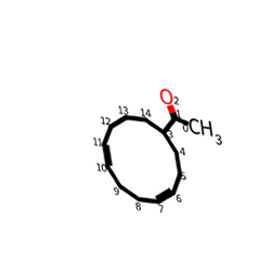 CC(=O)C1CCC=CCCC=CCCC1